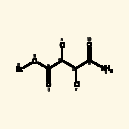 CCOC(=O)C(Cl)C(Cl)C(N)=O